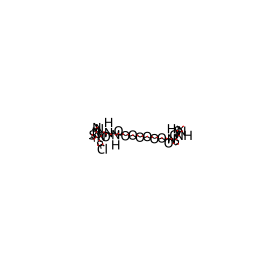 Cc1nc(NC(=O)c2ccccc2NC(=O)CCOCCOCCOCCOCCOCCOCCC(=O)NCCNC(=O)C[C@@H]2N=C(c3ccc(Cl)cc3)c3c(sc(C)c3C)-n3c(C)nnc32)sc1C